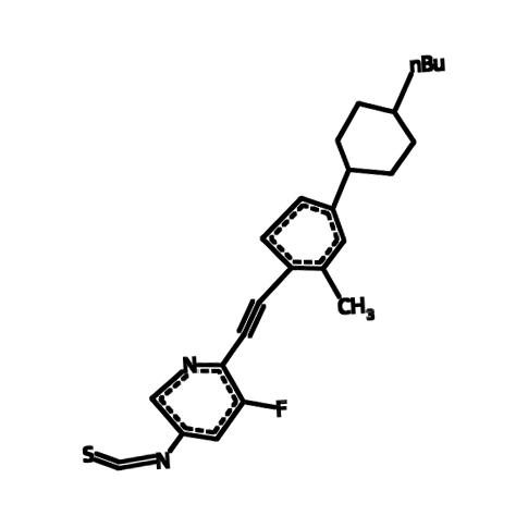 CCCCC1CCC(c2ccc(C#Cc3ncc(N=C=S)cc3F)c(C)c2)CC1